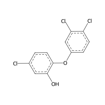 Oc1cc(Cl)ccc1Oc1ccc(Cl)c(Cl)c1